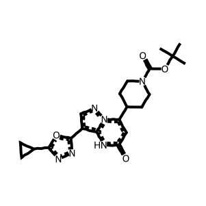 CC(C)(C)OC(=O)N1CCC(c2cc(=O)[nH]c3c(-c4nnc(C5CC5)o4)cnn23)CC1